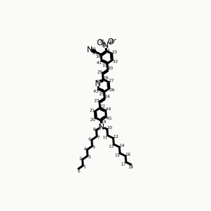 CCCCCCCCCN(CCCCCCCCC)c1ccc(/C=C/c2ccc(/C=C/c3ccc([N+](=O)[O-])c(C#N)c3)nc2)cc1